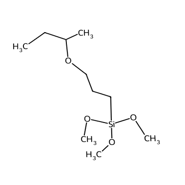 CCC(C)OCCC[Si](OC)(OC)OC